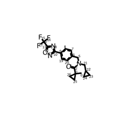 CC1(C(=O)N(Cc2ccc(-c3noc(C(F)(F)F)n3)cc2)CC2CC2)CC1